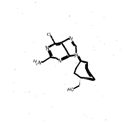 Nc1nc(Cl)c2ncn(C3C=C[C@H](CO)C3)c2n1